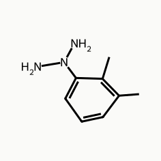 Cc1cccc(N(N)N)c1C